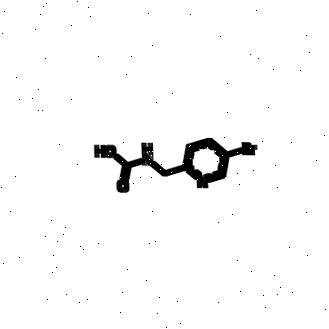 O=C(O)NCc1ccc(Br)cn1